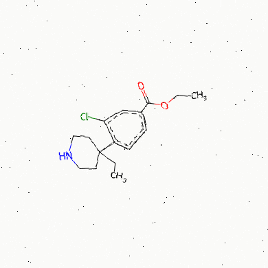 CCOC(=O)c1ccc(C2(CC)CCNCC2)c(Cl)c1